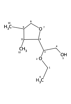 CCOC(CO)C1OCC(C)C1C